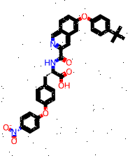 CC(C)(C)c1ccc(Oc2ccc3cnc(C(=O)N[C@@H](Cc4ccc(Oc5ccc([N+](=O)[O-])cc5)cc4)C(=O)O)cc3c2)cc1